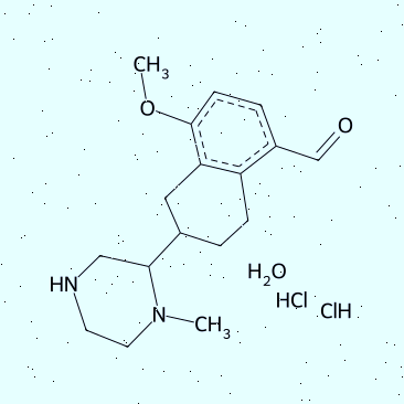 COc1ccc(C=O)c2c1CC(C1CNCCN1C)CC2.Cl.Cl.O